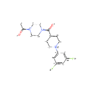 CC(=O)N1CCN(C(=O)C2CCN(c3cc(F)cc(F)c3)CC2)CC1